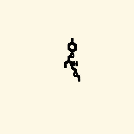 CCOCCNC(CC)COC1CCC(C)CC1